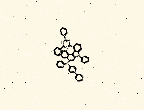 c1ccc(-c2ccc(N(c3ccccc3)c3cc4c(c5ccccc35)c3c(-c5nc(-c6ccccc6)nc(-c6ccccc6)n5)cccc3n4-c3ccccc3)cc2)cc1